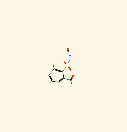 COC(=O)c1cccc(F)c1S(=O)(=O)N=C=O